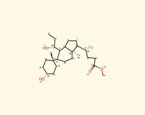 CC[C@@H](O)C1C2CCC([C@H](C)CCC(=O)OC)[C@@]2(C)CCC1[C@]1(C)CC[C@H](O)CC1